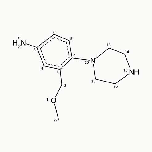 COCc1cc(N)ccc1N1CCNCC1